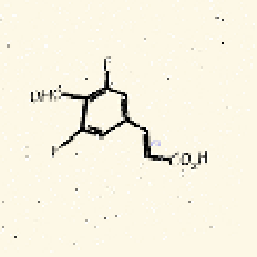 O=Cc1c(F)cc(/C=C/C(=O)O)cc1F